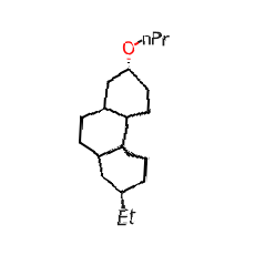 CCCO[C@@H]1CCC2C(CCC3C[C@H](CC)CCC32)C1